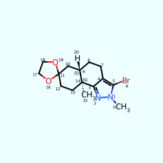 Cn1nc2c(c1Br)CC[C@H]1CC3(CC[C@]21C)OCCO3